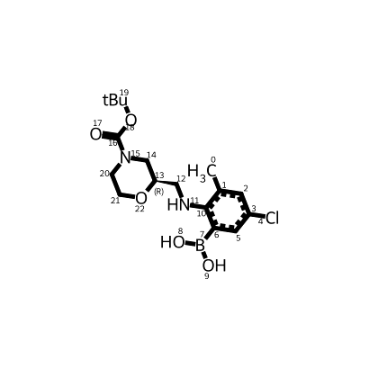 Cc1cc(Cl)cc(B(O)O)c1NC[C@@H]1CN(C(=O)OC(C)(C)C)CCO1